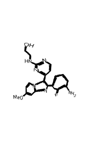 COc1ccn2c(-c3ccnc(NCCO)n3)c(-c3cccc(N)c3F)nc2c1